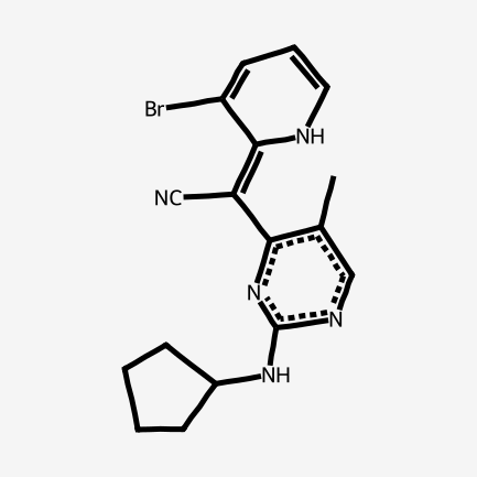 Cc1cnc(NC2CCCC2)nc1C(C#N)=C1NC=CC=C1Br